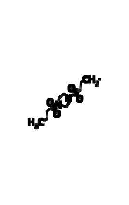 [CH2]CCS(=O)(=O)N1CCN(S(=O)(=O)CCC)CC1